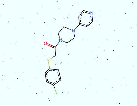 O=C(CSc1ccc(F)cc1)N1CCN(c2ccncc2)CC1